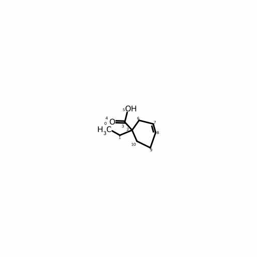 CCC1(C(=O)O)CC=CCC1